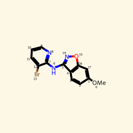 COc1ccc2c(Nc3ncccc3Br)noc2c1